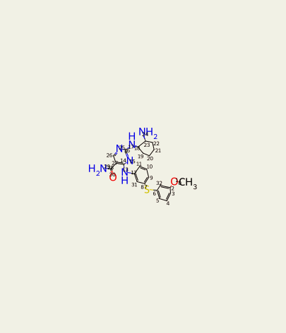 COc1cccc(Sc2cccc(Nc3nc(N[C@@H]4CCCC[C@@H]4N)ncc3C(N)=O)c2)c1